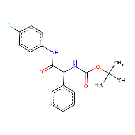 CC(C)(C)OC(=O)NC(C(=O)Nc1ccc(F)cc1)c1ccccc1